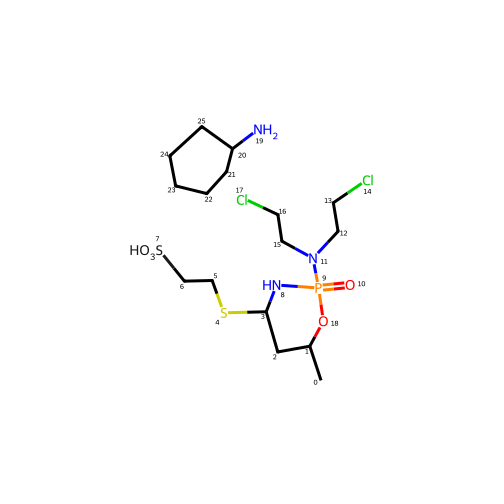 CC1CC(SCCS(=O)(=O)O)NP(=O)(N(CCCl)CCCl)O1.NC1CCCCC1